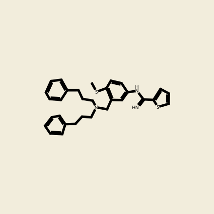 CSc1ccc(NC(=N)c2cccs2)cc1CN(CCCc1ccccc1)CCCc1ccccc1